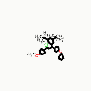 COc1ccc(C(Cl)=CC(c2ccc(Oc3ccccc3)cc2)c2cc(C(C)(C)C)[c]c(C(C)(C)C)c2)cc1